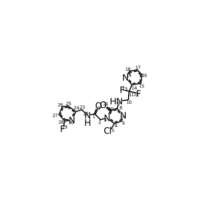 O=C(Cn1c(Cl)cnc(NCC(F)(F)c2ccccn2)c1=O)NCc1cccc(F)n1